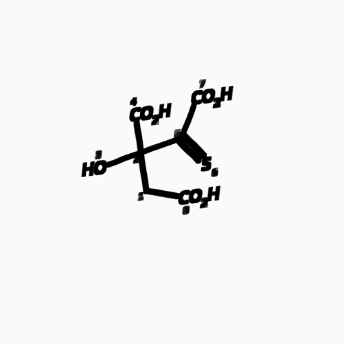 O=C(O)CC(O)(C(=O)O)C(=S)C(=O)O